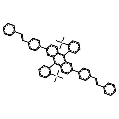 C[Si](C)(C)c1ccccc1-c1c2ccc(-c3ccc(/C=C/c4ccccc4)cc3)cc2c(-c2ccccc2[Si](C)(C)C)c2ccc(-c3ccc(/C=C/c4ccccc4)cc3)cc12